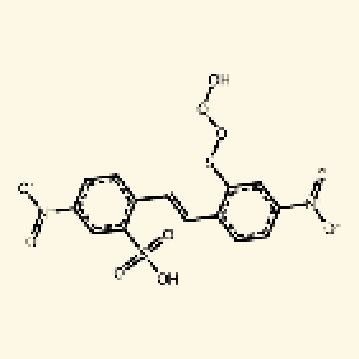 O=[N+]([O-])c1ccc(/C=C/c2ccc([N+](=O)[O-])cc2S(=O)(=O)O)c(SOOO)c1